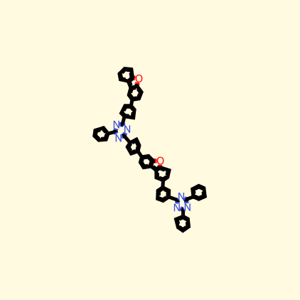 c1ccc(-c2nc(-c3ccc(-c4ccc5c(c4)oc4ccc(-c6cccc(-c7nc(-c8ccccc8)nc(-c8ccccc8)n7)c6)cc45)cc3)nc(-c3ccc(-c4ccc5oc6ccccc6c5c4)cc3)n2)cc1